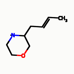 CC=CCC1COCC[N]1